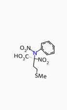 CSCC[C@@](C(=O)O)(N(c1ccccc1)[N+](=O)[O-])[N+](=O)[O-]